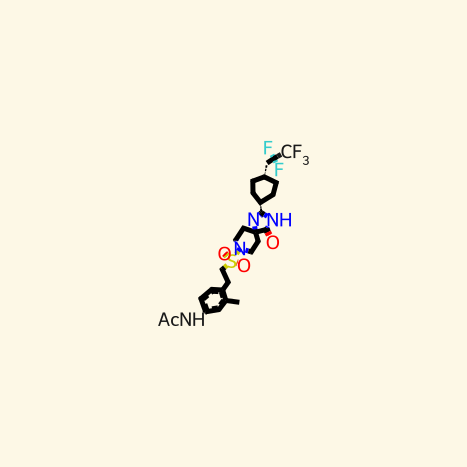 CC(=O)Nc1ccc(CCS(=O)(=O)N2CCC3(CC2)N=C([C@H]2CC[C@@H](CC(F)(F)C(F)(F)F)CC2)NC3=O)c(C)c1